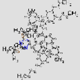 CCCCCCCCC1(CCCCCCCC)c2cc(C)ccc2-c2ccc(-c3ccc4c(c3)C(c3ccc(CCCCCC)cc3)(c3ccc(-c5nc(SC(C)(C)C)nc(SC(C)(C)C)n5)cc3)c3cc(C)ccc3-4)cc21